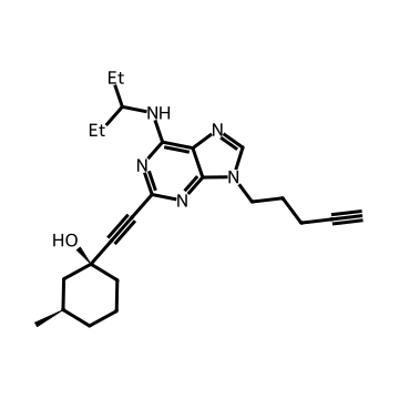 C#CCCCn1cnc2c(NC(CC)CC)nc(C#C[C@]3(O)CCC[C@@H](C)C3)nc21